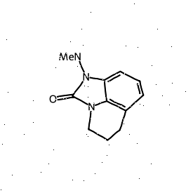 CNn1c(=O)n2c3c(cccc31)CCC2